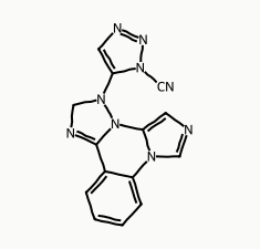 N#Cn1nncc1N1CN=C2c3ccccc3-n3cncc3N21